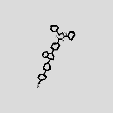 N#Cc1ccc(-c2ccc(-c3ccc(-c4ccc(C5=NC(c6ccccc6)NC(c6ccccc6)=N5)cc4)c4ccccc34)cc2)cc1